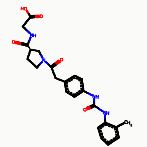 Cc1ccccc1NC(=O)Nc1ccc(CC(=O)N2CC[C@H](C(=O)NCC(=O)O)C2)cc1